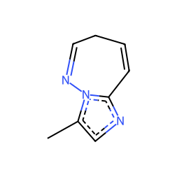 Cc1cnc2n1N=CCC=C2